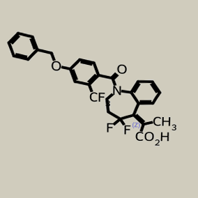 C/C(C(=O)O)=C1\c2ccccc2N(C(=O)c2ccc(OCc3ccccc3)cc2C(F)(F)F)CCC1(F)F